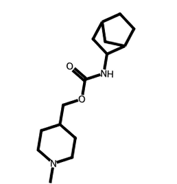 CN1CCC(COC(=O)NC2CC3CCC2C3)CC1